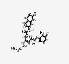 CN(C(=O)NCc1cccc(F)c1F)[C@@H](CCC(=O)O)COC(=O)Nc1cc2cc(F)ccc2cn1